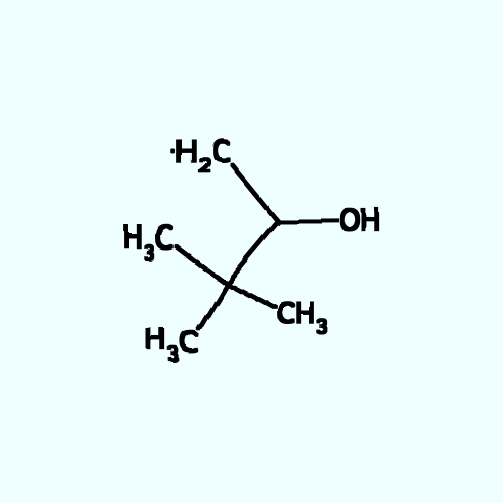 [CH2]C(O)C(C)(C)C